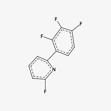 Fc1cccc(-c2ccc(F)c(F)c2F)n1